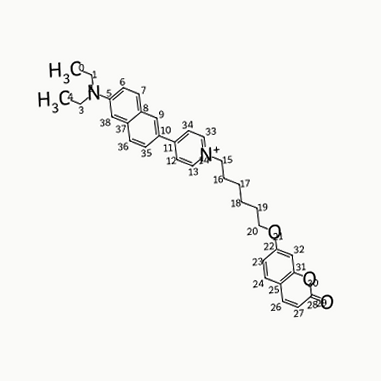 CCN(CC)c1ccc2cc(-c3cc[n+](CCCCCCOc4ccc5ccc(=O)oc5c4)cc3)ccc2c1